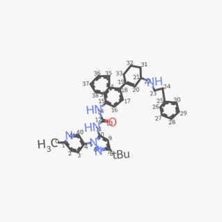 Cc1ccc(-n2nc(C(C)(C)C)cc2NC(=O)Nc2ccc(C3=CC(NCCc4ccccc4)CCC3)c3ccccc23)cn1